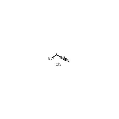 CCC[N+]#N.[Cl-]